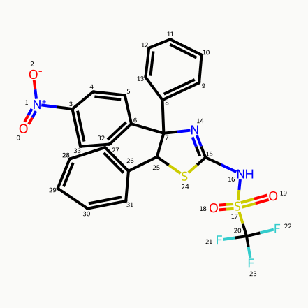 O=[N+]([O-])c1ccc(C2(c3ccccc3)N=C(NS(=O)(=O)C(F)(F)F)SC2c2ccccc2)cc1